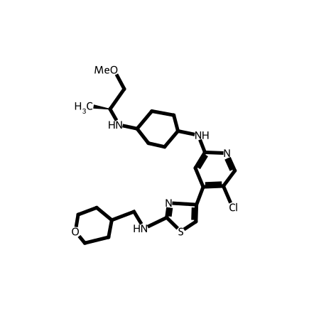 COC[C@H](C)NC1CCC(Nc2cc(-c3csc(NCC4CCOCC4)n3)c(Cl)cn2)CC1